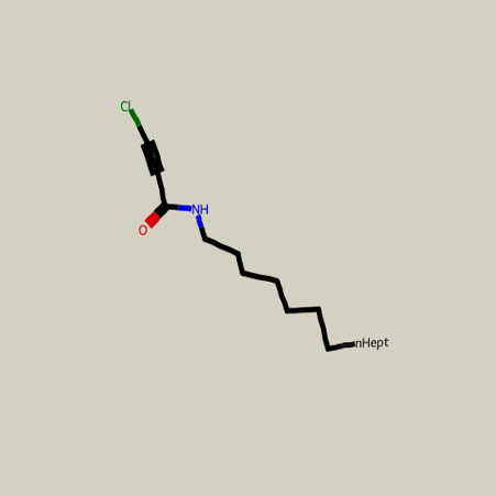 CCCCCCCCCCCCCCNC(=O)C#CCl